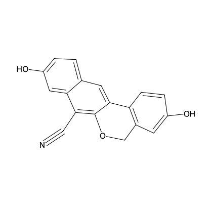 N#Cc1c2c(cc3ccc(O)cc13)-c1ccc(O)cc1CO2